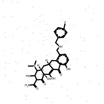 CN(C)C1C(O)C(C(N)=O)C(=O)[C@@]2(O)C(O)=C3C(=O)c4c(O)ccc(CNCc5ccc(F)cc5)c4C[C@H]3C[C@@H]12